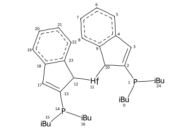 CCC(C)P(C1=Cc2ccccc2[CH]1[Hf][CH]1C(P(C(C)CC)C(C)CC)=Cc2ccccc21)C(C)CC